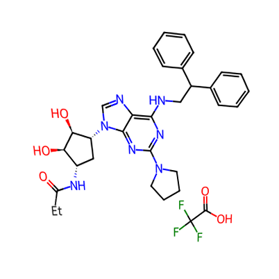 CCC(=O)N[C@H]1C[C@@H](n2cnc3c(NCC(c4ccccc4)c4ccccc4)nc(N4CCCC4)nc32)[C@H](O)[C@@H]1O.O=C(O)C(F)(F)F